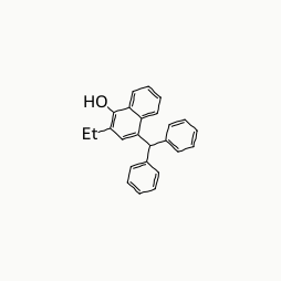 CCc1cc(C(c2ccccc2)c2ccccc2)c2ccccc2c1O